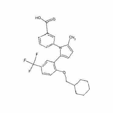 Cc1ccc(-c2cc(C(F)(F)F)ccc2OCC2CCCCC2)n1-c1cccc(C(=O)O)c1